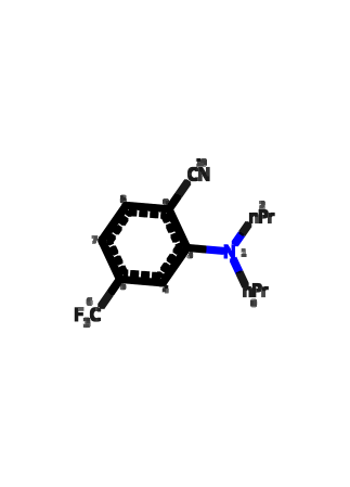 CCCN(CCC)c1cc(C(F)(F)F)ccc1C#N